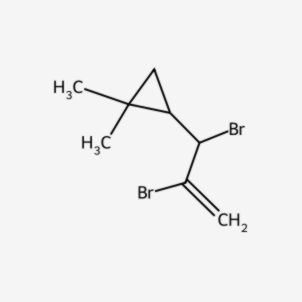 C=C(Br)C(Br)C1CC1(C)C